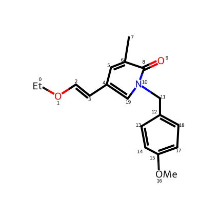 CCO/C=C/c1cc(C)c(=O)n(Cc2ccc(OC)cc2)c1